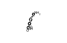 N[C@@H]1CCN(CCN2CCN(c3ccc(C4CCC(=O)NC4=O)cc3)CC2)C1